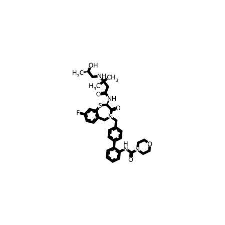 C[C@@H](O)CNC(C)(C)CC(=O)N[C@@H]1Sc2cc(F)ccc2CN(Cc2ccc(-c3ccccc3NC(=O)N3CCOCC3)cc2)C1=O